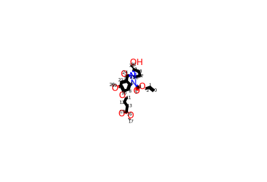 C=CCOC(=O)Nc1cc(OCCCC(=O)OC)c(OC)cc1C(=O)N1CCC[C@@H]1CO